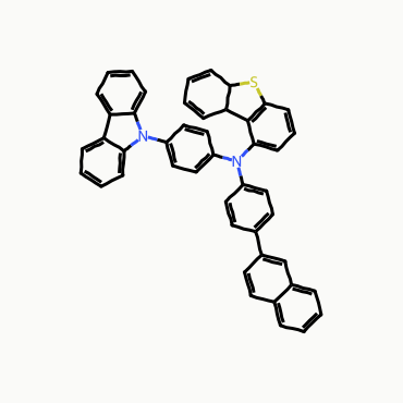 C1=CC2Sc3cccc(N(c4ccc(-c5ccc6ccccc6c5)cc4)c4ccc(-n5c6ccccc6c6ccccc65)cc4)c3C2C=C1